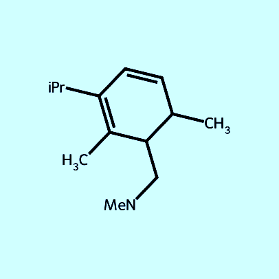 CNCC1C(C)=C(C(C)C)C=CC1C